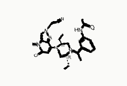 CC[C@H]1CN(C(C)c2cccc(NC(C)=O)c2)[C@H](CC)CN1c1cc(=O)n(C)c2cn(CC#N)nc12